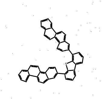 c1ccc2c(c1)ccc1c3ccc(-c4cccc5c4sc4c(-c6ccc7c(ccc8c9ccccc9ccc78)c6)cccc45)cc3ccc21